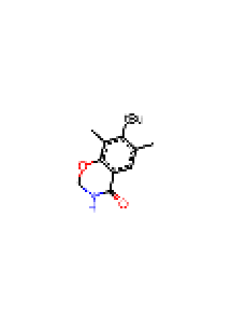 Cc1cc2c(c(C)c1C(C)(C)C)OCNC2=O